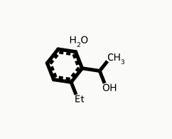 CCc1ccccc1C(C)O.O